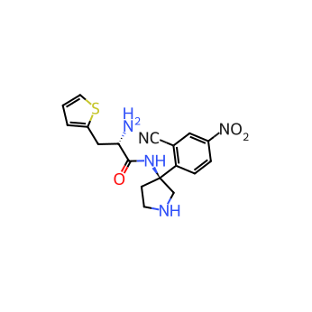 N#Cc1cc([N+](=O)[O-])ccc1[C@@]1(NC(=O)[C@@H](N)Cc2cccs2)CCNC1